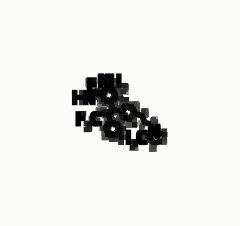 C=C1CCCN1CCCc1ccc(/C(=C(/CC(F)(F)F)c2ccccc2)c2ccc(N)c(C(=N)F)c2)cc1